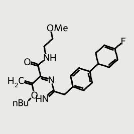 C=C(OCCCC)/C(=N\C(=N)Cc1ccc(C2C=CC(F)=CC2)cc1)C(=O)NCCOC